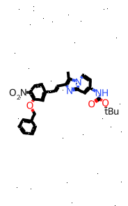 Cc1c(/C=C/c2ccc([N+](=O)[O-])c(OCc3ccccc3)c2)nc2cc(NC(=O)OC(C)(C)C)ccn12